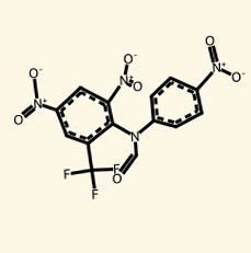 O=CN(c1ccc([N+](=O)[O-])cc1)c1c([N+](=O)[O-])cc([N+](=O)[O-])cc1C(F)(F)F